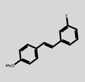 COc1ccc(C=Cc2cccc(F)c2)cc1